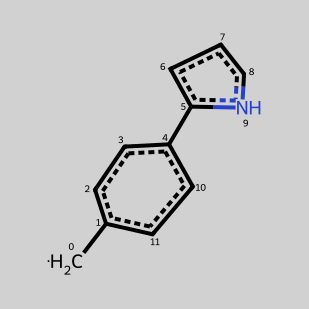 [CH2]c1ccc(-c2ccc[nH]2)cc1